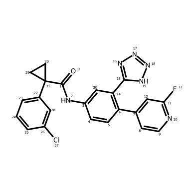 O=C(Nc1ccc(-c2ccnc(F)c2)c(-c2nnn[nH]2)c1)C1(c2cccc(Cl)c2)CC1